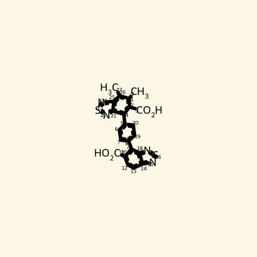 Cc1c(C(=O)O)c(-c2ccc(-c3c(C(=O)O)ccc4nsnc34)cc2)c2nsnc2c1C